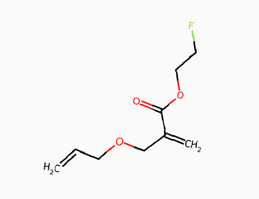 C=CCOCC(=C)C(=O)OCCF